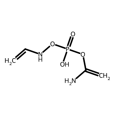 C=CNOP(=O)(O)OC(=C)N